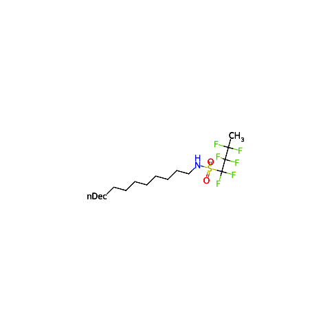 CCCCCCCCCCCCCCCCCCNS(=O)(=O)C(F)(F)C(F)(F)C(C)(F)F